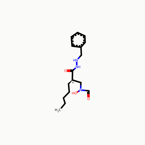 CCCCC[C@H](CN(O)C=O)C(=O)NNCc1ccccc1